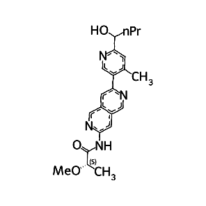 CCCC(O)c1cc(C)c(-c2cc3cnc(NC(=O)[C@H](C)OC)cc3cn2)cn1